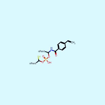 C=Cc1ccc(C(=O)NC(CCCCC)OP(=O)(O)OC(S)CCCCC)cc1